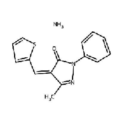 CC1=NN(c2ccccc2)C(=O)C1=Cc1cccs1.N